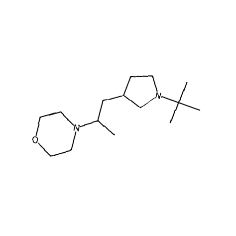 CC(CC1CCN(C(C)(C)C)C1)N1CCOCC1